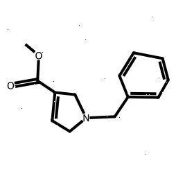 COC(=O)C1=CCN(Cc2ccccc2)C1